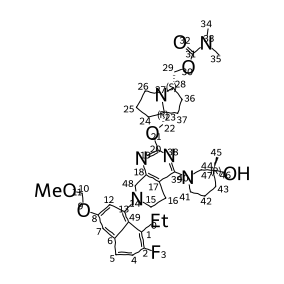 CCc1c(F)ccc2cc(OCOC)cc(N3CCc4c(nc(OC[C@]56CCCN5[C@H](COC(=O)N(C)C)CC6)nc4N4CCC[C@@](C)(O)C4)C3)c12